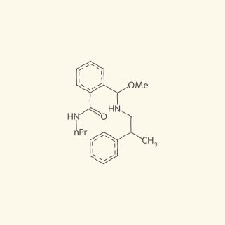 CCCNC(=O)c1ccccc1C(NCC(C)c1ccccc1)OC